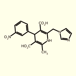 CC1=C(C(=O)O)C(c2cccc([N+](=O)[O-])c2)C(C(=O)O)=C(Cn2ccnc2)N1